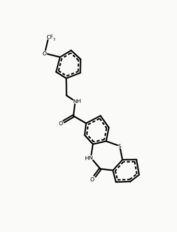 O=C(NCc1cccc(OC(F)(F)F)c1)c1ccc2c(c1)NC(=O)c1ccccc1S2